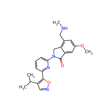 CNCc1cc(OC)cc2c1CN(c1cccc(-c3oncc3C(C)C)n1)C2=O